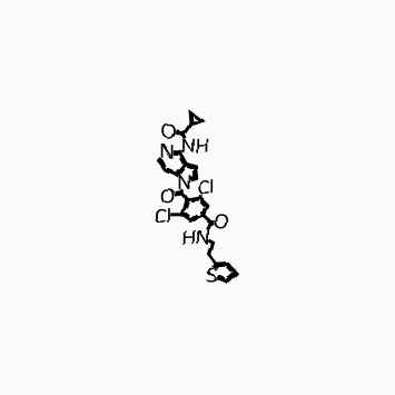 O=C(NCCc1cccs1)c1cc(Cl)c(C(=O)n2ccc3c(NC(=O)C4CC4)nccc32)c(Cl)c1